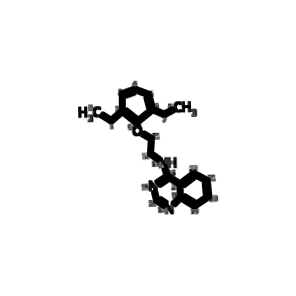 CCc1cccc(CC)c1OCCNc1ncnc2ccccc12